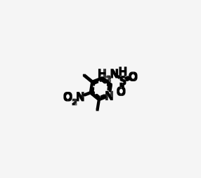 Cc1ccnc(C)c1[N+](=O)[O-].N[SH](=O)=O